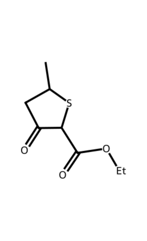 CCOC(=O)C1SC(C)CC1=O